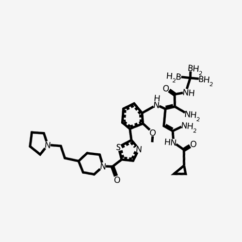 BC(B)(B)NC(=O)/C(N)=C(/C=C(\N)NC(=O)C1CC1)Nc1cccc(-c2ncc(C(=O)N3CCC(CCN4CCCC4)CC3)s2)c1OC